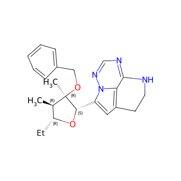 CC[C@H]1O[C@@H](c2cc3c4c(ncnn24)NCC3)[C@](C)(OCc2ccccc2)[C@@H]1C